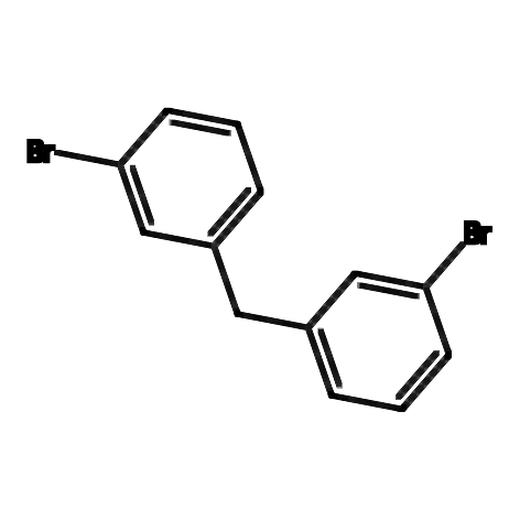 Brc1cccc(Cc2cccc(Br)c2)c1